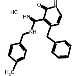 Cc1ccc(CNC(=N)c2c(Cc3ccccc3)cc[nH]c2=O)cc1.Cl